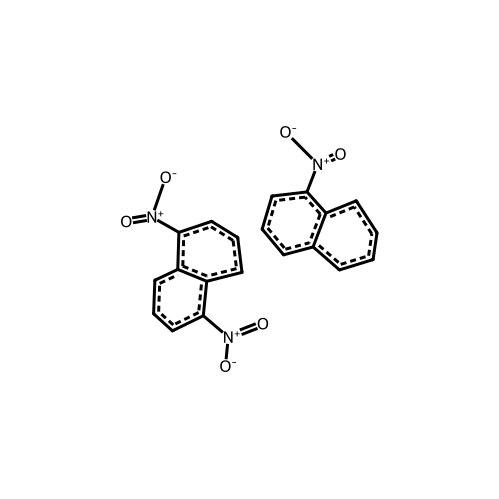 O=[N+]([O-])c1cccc2c([N+](=O)[O-])cccc12.O=[N+]([O-])c1cccc2ccccc12